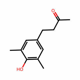 CC(=O)CCc1cc(C)c(O)c(C)c1